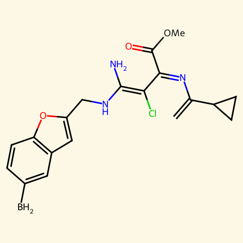 Bc1ccc2oc(CN/C(N)=C(Cl)/C(=N\C(=C)C3CC3)C(=O)OC)cc2c1